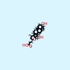 C[C@@H]1C[C@H](CCC(=O)O)O[C@H]2C1[C@@]1(C)CC[C@@]34CC35CCC(O)C(C)(C)[C@@H]5CC[C@H]4[C@]1(C)[C@H]2O